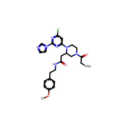 CCOc1ccc(CCNC(=O)CC2CN(C(=O)COC)CCN2c2cc(Cl)nc(-n3ccnc3)n2)cc1